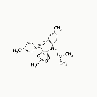 CC(=O)O[C@@H]1C(=O)N(CCN(C)C)c2ccc(C)cc2S[C@@H]1c1ccc(C)cc1